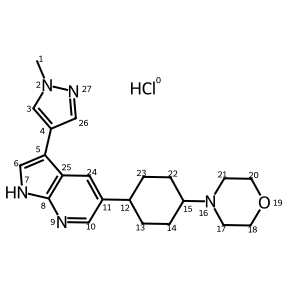 Cl.Cn1cc(-c2c[nH]c3ncc(C4CCC(N5CCOCC5)CC4)cc23)cn1